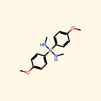 CN[Si](NC)(c1ccc(OC)cc1)c1ccc(OC)cc1